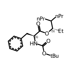 CCCC(CCC)[C@H](CC)OC(=O)[C@H](Cc1ccccc1)NC(=O)OC(C)(C)C